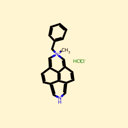 C[N+]1(Cc2ccccc2)C=c2ccc3c4c(ccc(c24)=C1)=CNC=3.Cl.[Cl-]